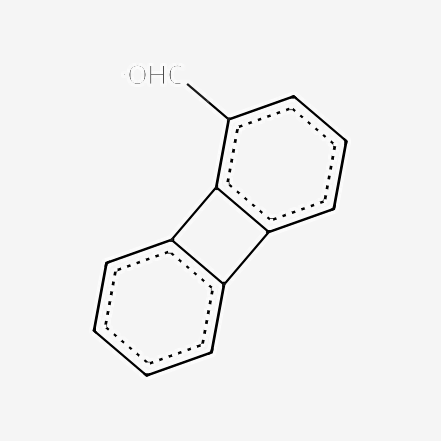 O=[C]c1cccc2c1-c1ccccc1-2